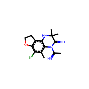 CC(=N)N1C(=N)C(C)(C)Nc2c3c(c(Br)c(C)c21)OCC3